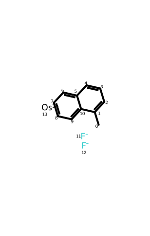 Cc1cccc2ccccc12.[F-].[F-].[Os+2]